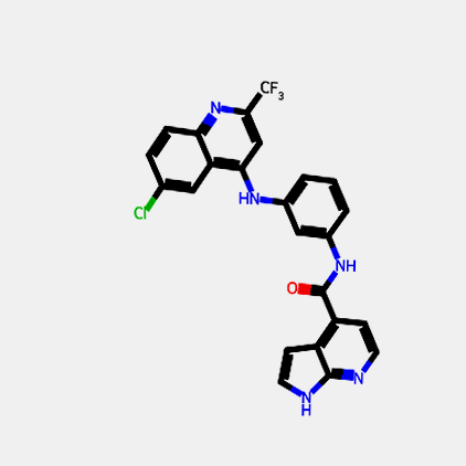 O=C(Nc1cccc(Nc2cc(C(F)(F)F)nc3ccc(Cl)cc23)c1)c1ccnc2[nH]ccc12